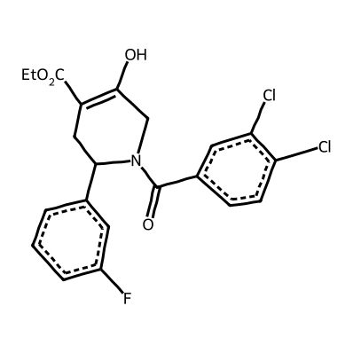 CCOC(=O)C1=C(O)CN(C(=O)c2ccc(Cl)c(Cl)c2)C(c2cccc(F)c2)C1